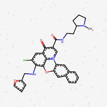 CN1CCCC1CCNC(=O)c1cn2c3c(c(NCc4ccco4)c(F)cc3c1=O)Oc1cc3ccccc3cc1-2